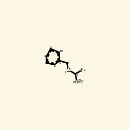 CCCC(F)OCc1ccccc1